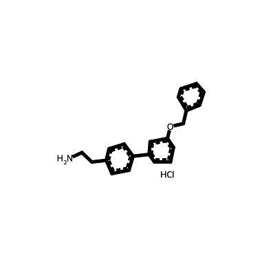 Cl.NCCc1ccc(-c2cccc(OCc3ccccc3)c2)cc1